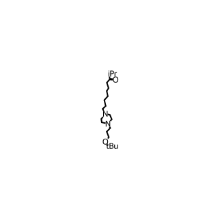 CC(C)C(=O)CCCCCCCN1CCN(CCCOC(C)(C)C)CC1